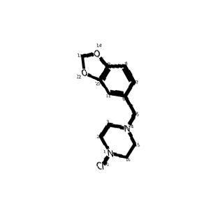 ClN1CCN(Cc2ccc3c(c2)OCO3)CC1